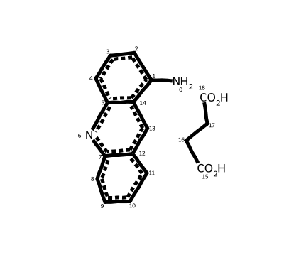 Nc1cccc2nc3ccccc3cc12.O=C(O)CCC(=O)O